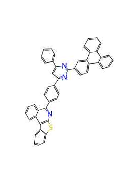 c1ccc(-c2cc(-c3ccc(-c4nc5sc6ccccc6c5c5ccccc45)cc3)nc(-c3ccc4c5ccccc5c5ccccc5c4c3)n2)cc1